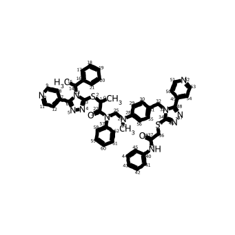 CC(Sc1nnc(-c2ccncc2)n1C(C)c1ccccc1)C(=O)N(CN(C)c1ccc(Cn2c(SCC(=O)Nc3ccccc3)nnc2-c2ccncc2)cc1)c1ccccc1